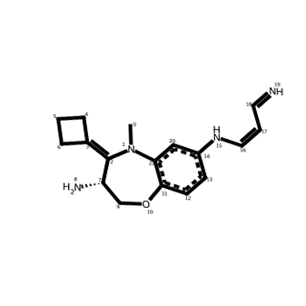 CN1C(=C2CCC2)[C@@H](N)COc2ccc(N/C=C\C=N)cc21